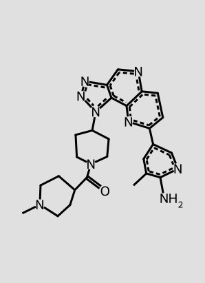 Cc1cc(-c2ccc3ncc4nnn(C5CCN(C(=O)C6CCN(C)CC6)CC5)c4c3n2)cnc1N